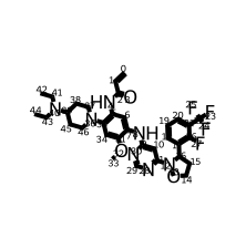 C=CC(=O)Nc1cc(Nc2cc(N3OCCC3c3cccc(C(F)(F)F)c3F)ncn2)c(OC)cc1N1CCC(N(CC)CC)CC1